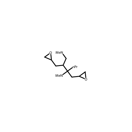 CCCC(CC1CO1)(NC)C(CNC)CC1CO1